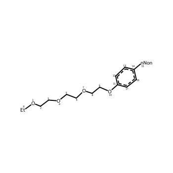 [CH2]COCCOCCOCCOc1ccc(CCCCCCCCC)cc1